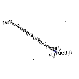 COCCOCCOCCOCCOCCOCCOCCOCCOCCOCCOCCOCCOC/C(N)=N/N=C(\N)c1ccc(C(=O)O)cc1